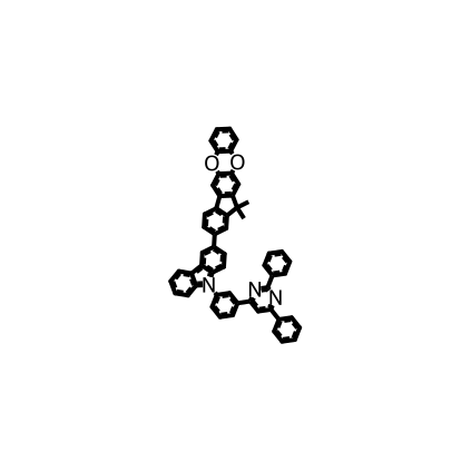 CC1(C)c2cc(-c3ccc4c(c3)c3ccccc3n4-c3cccc(-c4cc(-c5ccccc5)nc(-c5ccccc5)n4)c3)ccc2-c2cc3c(cc21)Oc1ccccc1O3